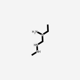 CCN(N)CNNC